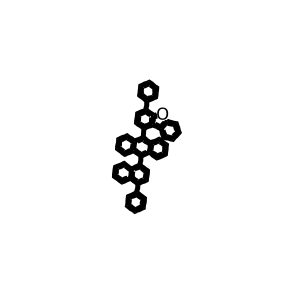 c1ccc(-c2ccc(-c3c4ccccc4c(-c4ccc(-c5ccccc5)c5oc6ccccc6c45)c4ccccc34)c3ccccc23)cc1